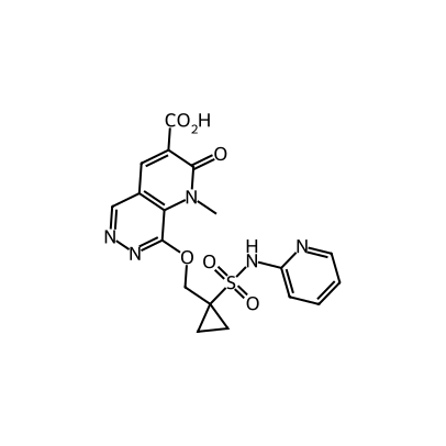 Cn1c(=O)c(C(=O)O)cc2cnnc(OCC3(S(=O)(=O)Nc4ccccn4)CC3)c21